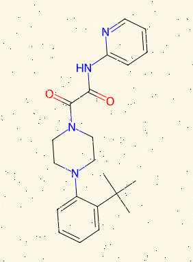 CC(C)(C)c1ccccc1N1CCN(C(=O)C(=O)Nc2ccccn2)CC1